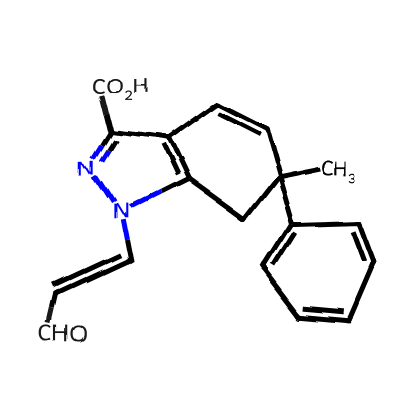 CC1(c2ccccc2)C=Cc2c(C(=O)O)nn(C=CC=O)c2C1